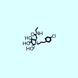 CCNC(=O)C[C@@H]1[C@@H](O)[C@H](O)[C@@H](CO)N1CCCc1ccc(Cl)cc1